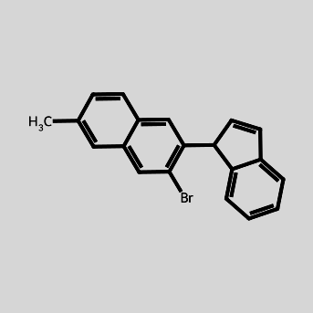 Cc1ccc2cc(C3C=Cc4ccccc43)c(Br)cc2c1